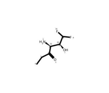 CCC(=O)[C@@H](N)[C@H](O)C(F)F